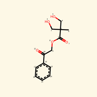 CC(CO)(CO)C(=O)OCC(=O)c1ccccc1